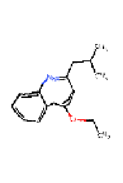 CCOc1cc(C[C](C)C)nc2ccccc12